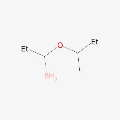 BC(CC)OC(C)CC